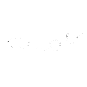 CC(=O)c1ccc(-c2ccc(CCNC(=O)CC3NC(=O)NC3=O)cc2)cc1